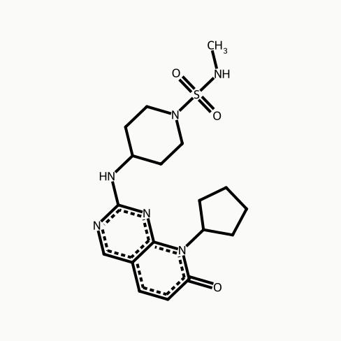 CNS(=O)(=O)N1CCC(Nc2ncc3ccc(=O)n(C4CCCC4)c3n2)CC1